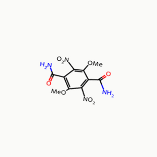 COc1c(C(N)=O)c([N+](=O)[O-])c(OC)c(C(N)=O)c1[N+](=O)[O-]